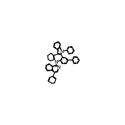 C1=CC(c2cnc(N3C4=C(CCCC4)c4c(n(-c5ccccc5)c5ccccc45)-c4cc(-c5ccccc5)ccc43)c3ccccc23)=CCC1